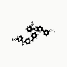 Cc1cccc(-c2ccc3nc(-c4cccnc4N)n(-c4ccc(CN5CCC(Nc6ccnc(C#N)n6)CC5)cc4)c3n2)c1